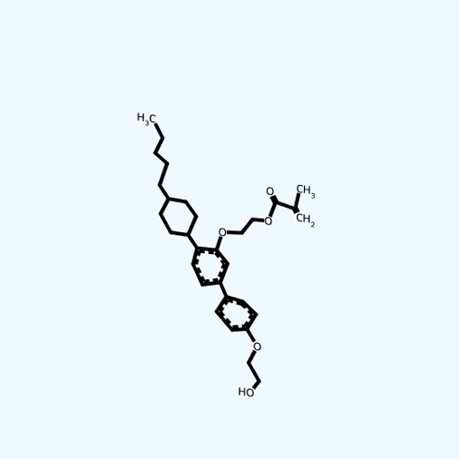 C=C(C)C(=O)OCCOc1cc(-c2ccc(OCCO)cc2)ccc1C1CCC(CCCCC)CC1